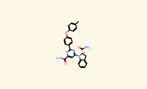 Cc1ccc(Oc2ccc(-c3nc(C(N)=O)cc(N4c5ccccc5C[C@H]4C(N)=O)n3)cc2)cc1